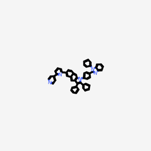 c1ccc(-c2c(-c3ccccc3)n(-c3ccc(-c4nc5ccccc5n4-c4ccccc4)cc3)c3cc4ccc(-c5cccc(-c6ccncc6)n5)cc4cc23)cc1